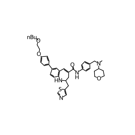 CCCCOCCOc1ccc(-c2ccc3c(c2)C=C(C(=O)Nc2ccc(CN(C)C4CCOCC4)cc2)CC(Cc2cncs2)N3)cc1